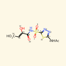 CC(=O)Nc1nnc(S(=O)(=O)NC(=O)/C(O)=C/C(=O)O)s1